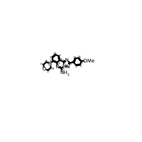 COc1ccc(-c2nc3c4cccc(N5CCOCC5)c4nc(N)n3n2)cc1